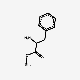 BOC(=O)C(N)Cc1ccccc1